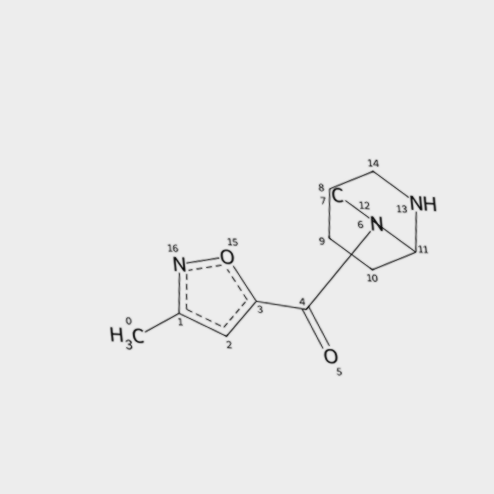 Cc1cc(C(=O)N2CC3CCC(C2)NC3)on1